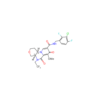 COc1c2n(cc(C(=O)NCc3ccc(F)c(Cl)c3F)c1=O)[C@H]1CCOC[C@H]1N(CC(F)(F)F)C2=O